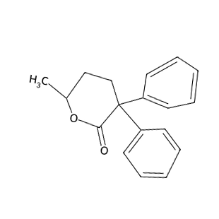 CC1CCC(c2ccccc2)(c2ccccc2)C(=O)O1